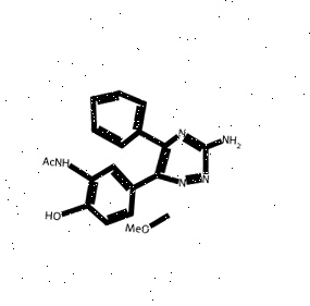 CC(=O)Nc1cc(-c2nnc(N)nc2-c2ccccc2)ccc1O.COC